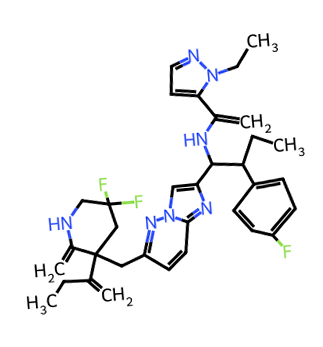 C=C(NC(c1cn2nc(CC3(C(=C)CC)CC(F)(F)CNC3=C)ccc2n1)C(CC)c1ccc(F)cc1)c1ccnn1CC